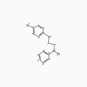 CCN(CCOc1ccc(Cl)cc1)c1ccccc1